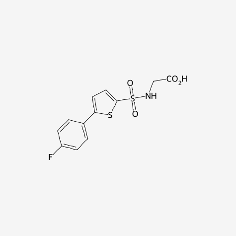 O=C(O)CNS(=O)(=O)c1ccc(-c2ccc(F)cc2)s1